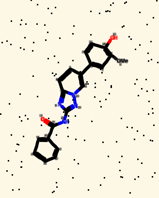 COc1cc(-c2ccc3nc(NC(=O)c4ccccc4)nn3c2)ccc1O